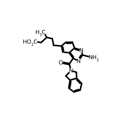 CC(CCc1ccc2nc(N)nc(C(=O)N3Cc4ccccc4C3)c2c1)CC(=O)O